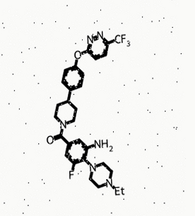 CCN1CCN(c2c(N)cc(C(=O)N3CCC(c4ccc(Oc5ccc(C(F)(F)F)nn5)cc4)CC3)cc2F)CC1